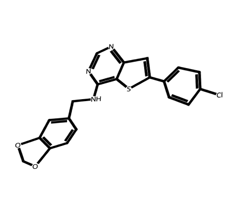 Clc1ccc(-c2cc3ncnc(NCc4ccc5c(c4)OCO5)c3s2)cc1